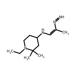 CCN1CCC(NC=C(C)N=N)CC1(C)C